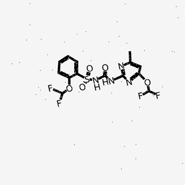 Cc1cc(OC(F)F)nc(NC(=O)NS(=O)(=O)c2ccccc2OC(F)F)n1